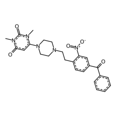 Cn1c(N2CCN(CCc3ccc(C(=O)c4ccccc4)cc3[N+](=O)[O-])CC2)cc(=O)n(C)c1=O